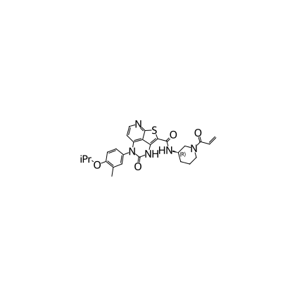 C=CC(=O)N1CCC[C@@H](NC(=O)c2sc3nccc4c3c2NC(=O)N4c2ccc(OC(C)C)c(C)c2)C1